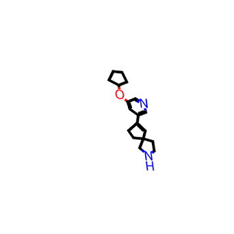 C1=C(c2cncc(OC3CCCC3)c2)CCC12CCNC2